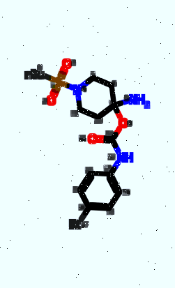 CCCCS(=O)(=O)N1CCC(N)(OC(=O)Nc2ccc(CC)cc2)CC1